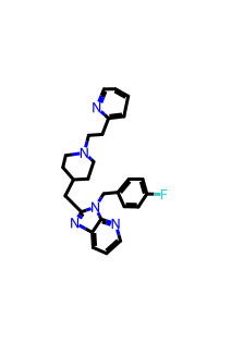 Fc1ccc(Cn2c(CC3CCN(CCc4ccccn4)CC3)nc3cccnc32)cc1